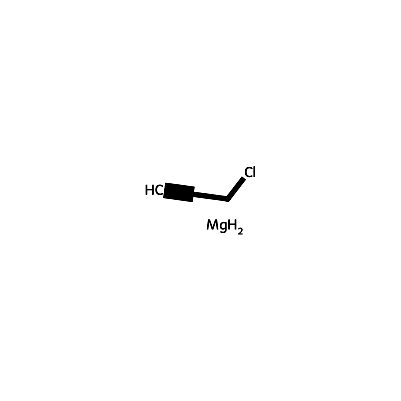 C#CCCl.[MgH2]